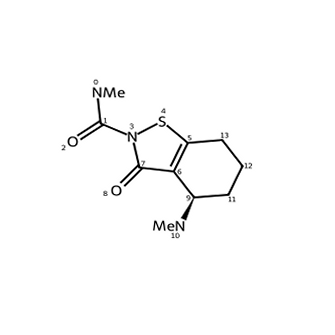 CNC(=O)n1sc2c(c1=O)[C@H](NC)CCC2